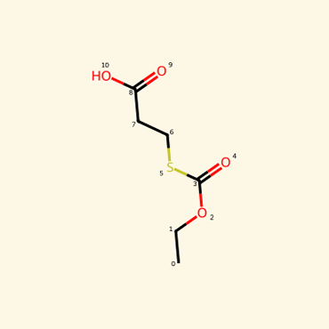 CCOC(=O)SCCC(=O)O